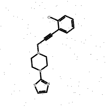 Clc1ccccc1C#CCN1CCN(c2nccs2)CC1